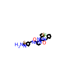 Nc1nc2ccc(CNC(=O)c3cccn4c(C(=O)NCc5ccccc5F)c(-c5ccsc5)nc34)cc2s1